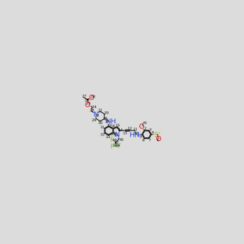 COc1cc([S+]=O)ccc1NCC#Cc1cc2c(NC3CCN(CCOC(C)=O)CC3)cccc2n1CC(F)(F)F